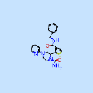 NC(=O)N1CCN(c2ccccn2)CC1c1sccc1C(=O)NCc1ccccc1